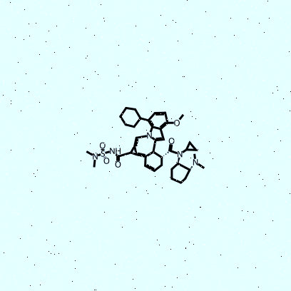 COc1ccc(C2CCCCC2)c2c1cc1n2C=C2C(=C3C=CC[C@@H](C(=O)N(C4CC4)[C@@H]4CCCC[C@H]4N(C)C)C31)C2C(=O)NS(=O)(=O)N(C)C